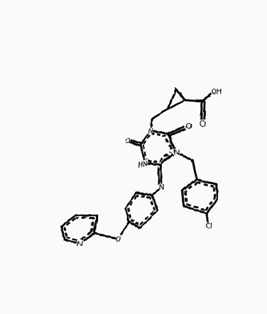 O=C(O)C1CC1Cn1c(=O)[nH]/c(=N\c2ccc(Oc3ccccn3)cc2)n(Cc2ccc(Cl)cc2)c1=O